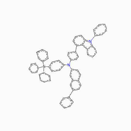 c1ccc(-c2ccc3ccc(N(c4ccc(-c5cccc6c5c5ccccc5n6-c5ccccc5)cc4)c4ccc([Si](c5ccccc5)(c5ccccc5)c5ccccc5)cc4)cc3c2)cc1